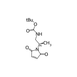 C[C@H](CNC(=O)OC(C)(C)C)N1C(=O)C=CC1=O